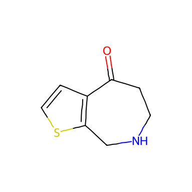 O=C1CCNCc2sccc21